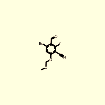 COCOc1cc(Br)c(C=O)c(F)c1C#N